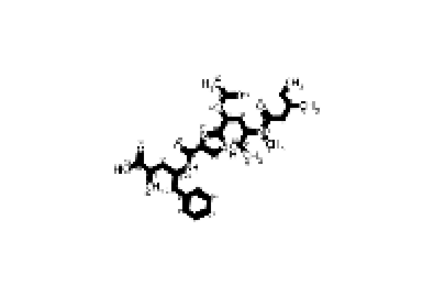 CCC(C)CC(=O)N(C)C(CC(OC(C)=O)c1nc(C(=O)NC(Cc2ccccc2)CC(C)C(=O)O)cs1)C(C)C